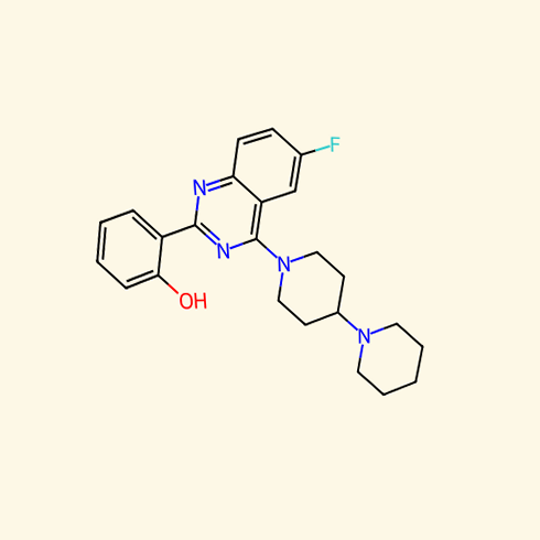 Oc1ccccc1-c1nc(N2CCC(N3CCCCC3)CC2)c2cc(F)ccc2n1